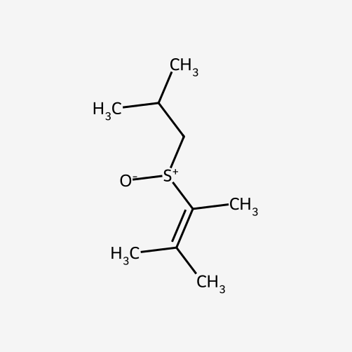 CC(C)=C(C)[S+]([O-])CC(C)C